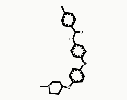 Cc1ccc(C(=O)Nc2ccc(Nc3ccc(OC4CCN(C)CC4)cc3)cc2)cc1